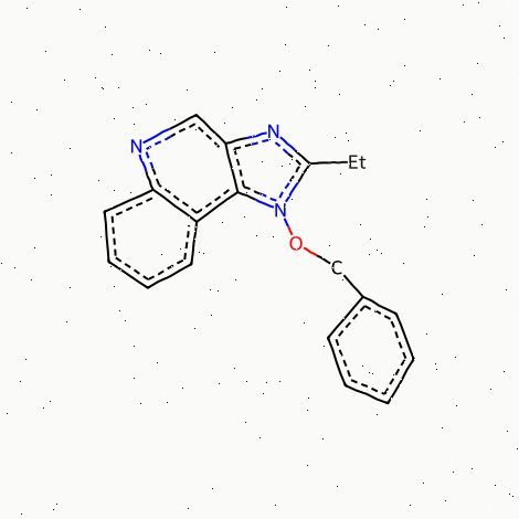 CCc1nc2cnc3ccccc3c2n1OCc1ccccc1